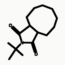 CC(C)(C)N1C(=O)C2CCCCCCCC2C1=O